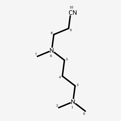 CN(C)CCCN(C)CCC#N